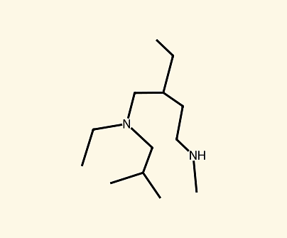 CCC(CCNC)CN(CC)CC(C)C